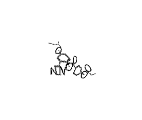 CCC(=O)Oc1ccc(C(=O)Oc2ccc(OCC(C)CC)cc2-c2cnccn2)cc1